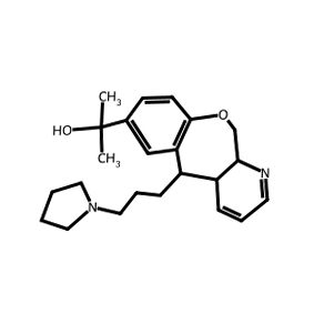 CC(C)(O)c1ccc2c(c1)C(CCCN1CCCC1)C1C=CC=NC1CO2